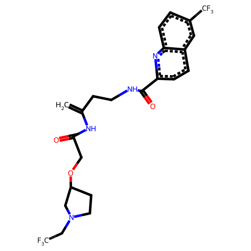 C=C(CCNC(=O)c1ccc2cc(C(F)(F)F)ccc2n1)NC(=O)COC1CCN(CC(F)(F)F)C1